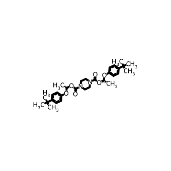 C[C@@H](OC(=O)N1CCN(C(=O)O[C@H](C)Oc2ccc(C(C)(C)C)cc2)CC1)Oc1ccc(C(C)(C)C)cc1